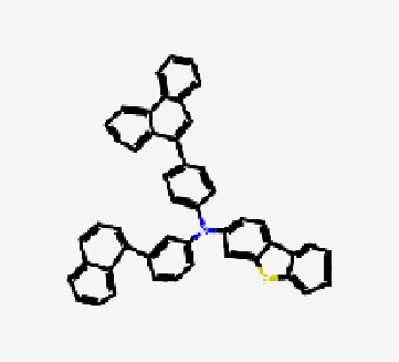 c1cc(-c2cccc3ccccc23)cc(N(c2ccc(-c3cc4ccccc4c4ccccc34)cc2)c2ccc3c(c2)sc2ccccc23)c1